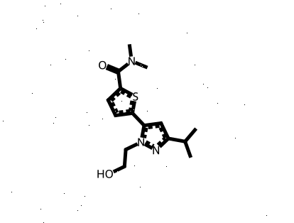 CC(C)c1cc(-c2ccc(C(=O)N(C)C)s2)n(CCO)n1